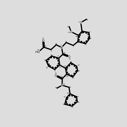 COc1cccc(CCN(CCC(=O)O)C(=O)c2ccccc2-c2ccccc2C(=O)N(C)Cc2ccccc2)c1OC